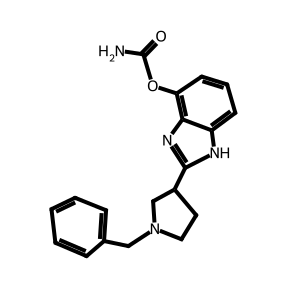 NC(=O)Oc1cccc2[nH]c(C3CCN(Cc4ccccc4)C3)nc12